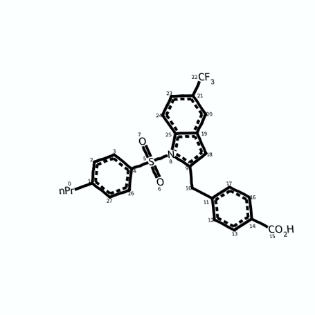 CCCc1ccc(S(=O)(=O)n2c(Cc3ccc(C(=O)O)cc3)cc3cc(C(F)(F)F)ccc32)cc1